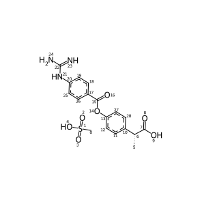 CS(=O)(=O)O.C[C@@H](C(=O)O)c1ccc(OC(=O)c2ccc(NC(=N)N)cc2)cc1